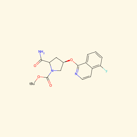 CC(C)(C)OC(=O)N1C[C@H](Oc2nccc3c(F)cccc23)CC1C(N)=O